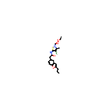 CCCc1cc2cc(CC(=O)N=c3sn(COOCC)c(C)c3Cl)ccc2o1